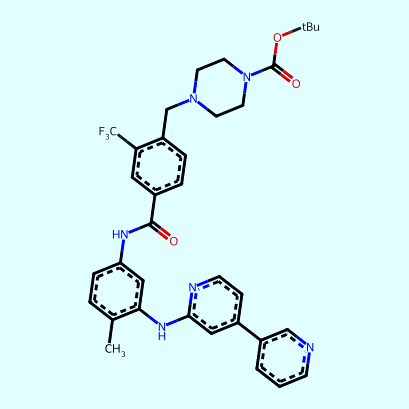 Cc1ccc(NC(=O)c2ccc(CN3CCN(C(=O)OC(C)(C)C)CC3)c(C(F)(F)F)c2)cc1Nc1cc(-c2cccnc2)ccn1